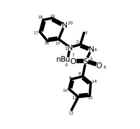 CCCCN(C(C)=NS(=O)(=O)c1ccc(C)cc1)c1ccccn1